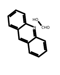 O=CO.c1ccc2nc3ccccc3cc2c1